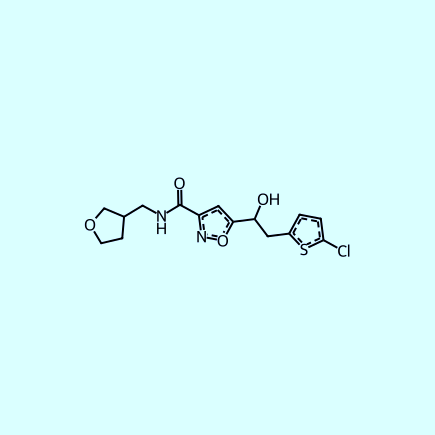 O=C(NCC1CCOC1)c1cc(C(O)Cc2ccc(Cl)s2)on1